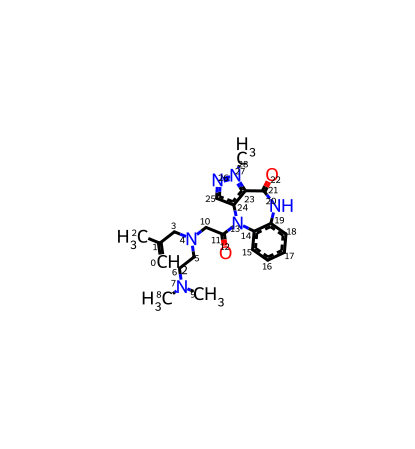 C=C(C)CN(CCN(C)C)CC(=O)N1c2ccccc2NC(=O)c2c1cnn2C